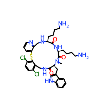 CN1C(=O)[C@H](CCCCN)NC(=O)[C@H](CCCCN)NCc2ncccc2Sc2c(Cl)ccc(Cl)c2CNC(=O)[C@@H]1Cc1c[nH]c2ccccc12